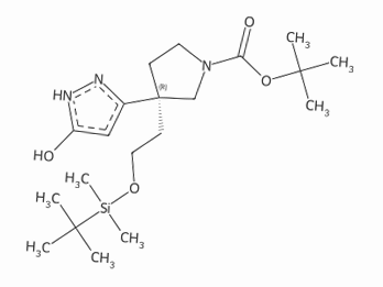 CC(C)(C)OC(=O)N1CC[C@](CCO[Si](C)(C)C(C)(C)C)(c2cc(O)[nH]n2)C1